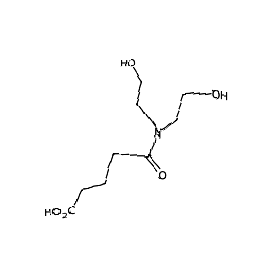 O=C(O)CCCC(=O)N(CCO)CCO